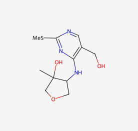 CSc1ncc(CO)c(NC2COCC2(C)O)n1